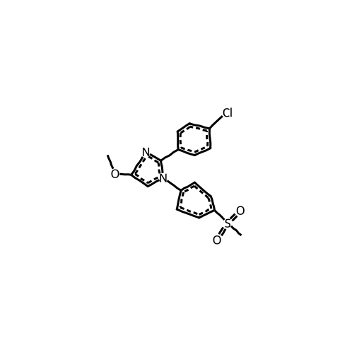 COc1cn(-c2ccc(S(C)(=O)=O)cc2)c(-c2ccc(Cl)cc2)n1